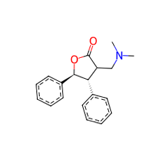 CN(C)CC1C(=O)O[C@H](c2ccccc2)[C@H]1c1ccccc1